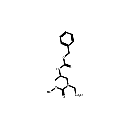 CCOC(=O)CN(CC(C)NC(=O)OCc1ccccc1)C(=O)OC(C)(C)C